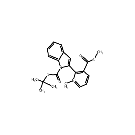 COC(=O)c1ccc[n+](C)c1-c1cc2ccccc2n1C(=O)OC(C)(C)C